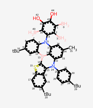 Bc1c(B)c(N2c3ccc(C(C)(C)C)cc3B3c4sc5ccc(C(C)(C)C)cc5c4N(c4ccc(C(C)(C)C)cc4)c4cc(C)cc2c43)c(B)c(O)c1O